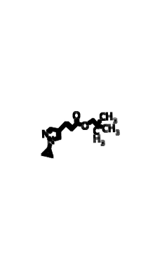 CC(C)(C)COC(=O)/C=C/c1cnn(C2CC2)c1